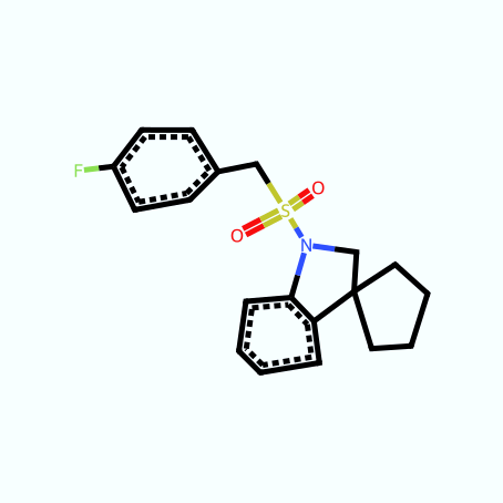 O=S(=O)(Cc1ccc(F)cc1)N1CC2(CCCC2)c2ccccc21